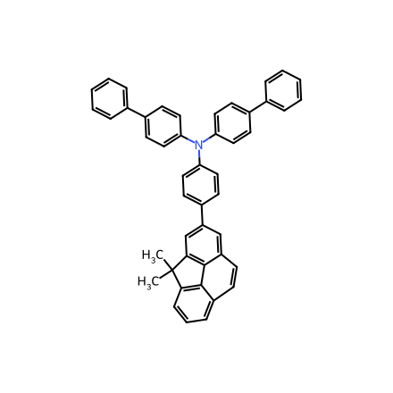 CC1(C)c2cccc3ccc4cc(-c5ccc(N(c6ccc(-c7ccccc7)cc6)c6ccc(-c7ccccc7)cc6)cc5)cc1c4c23